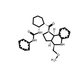 COC[C@@H]1Nc2ccccc2[C@H]2[C@@H]1CCN2C(=O)[C@H]1CCCC[C@H]1NC(=O)Nc1ccccc1